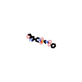 O=C(OC1CCCCC1)N1CC(S(=O)(=O)N2CCC(c3cnc4occc4c3)CC2)C1